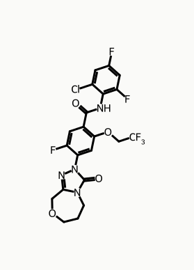 O=C(Nc1c(F)cc(F)cc1Cl)c1cc(F)c(-n2nc3n(c2=O)CCCOC3)cc1OCC(F)(F)F